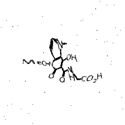 COn1c(=O)c(C(=O)NCC(=O)O)c(O)c2c1ccn2C